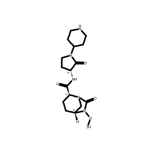 O=C(N[C@@H]1CCN(C2CCNCC2)C1=O)[C@@H]1CC[C@@H]2CN1C(=O)N2OS